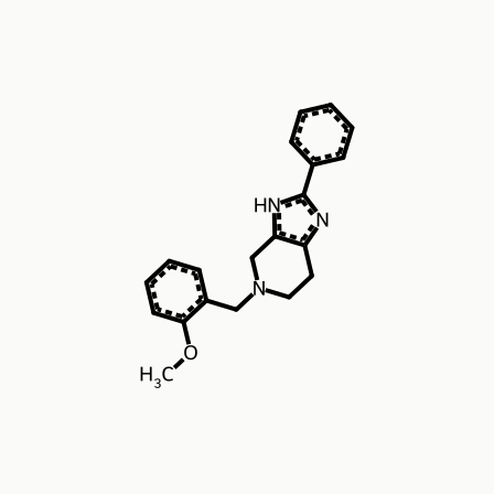 COc1ccccc1CN1CCc2nc(-c3ccccc3)[nH]c2C1